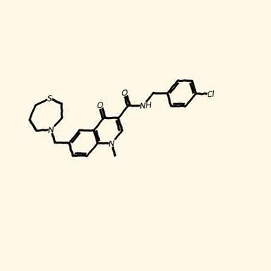 Cn1cc(C(=O)NCc2ccc(Cl)cc2)c(=O)c2cc(CN3CCCSCC3)ccc21